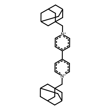 c1c[n+](CC23CC4CC(CC(C4)C2)C3)ccc1-c1cc[n+](CC23CC4CC(CC(C4)C2)C3)cc1